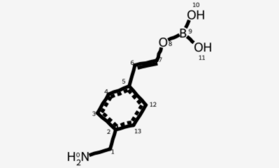 NCc1ccc(/C=C/OB(O)O)cc1